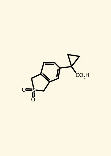 O=C(O)C1(c2ccc3c(c2)CS(=O)(=O)C3)CC1